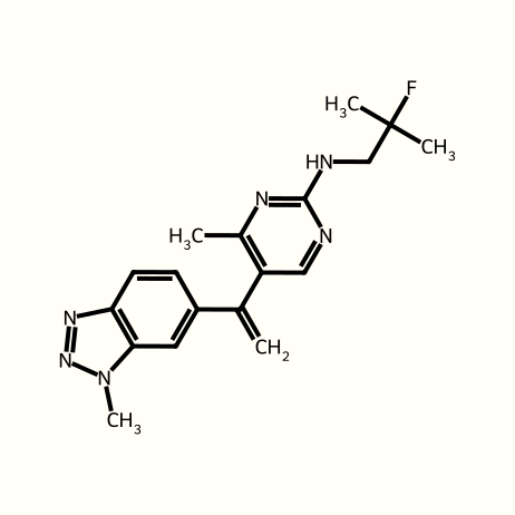 C=C(c1ccc2nnn(C)c2c1)c1cnc(NCC(C)(C)F)nc1C